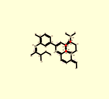 C\C=C(/C=C\C(=N\C(=C/C(C)=O)c1ccc(C)c(/N=C(/C)C(C)CC)c1)C(C)CC)N1CCC(N(C)C)CC1